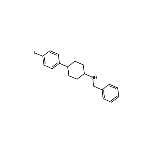 Ic1ccc(C2CCC(NCc3ccccc3)CC2)cc1